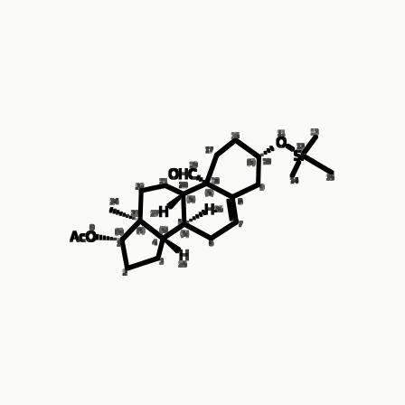 CC(=O)O[C@H]1CC[C@H]2[C@@H]3CC=C4C[C@@H](O[Si](C)(C)C)CC[C@]4(C=O)[C@H]3CC[C@]12C